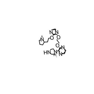 C[C@@H]1CNCCN1c1nccnc1OCCOc1nccnc1OCCC1CCCN1C